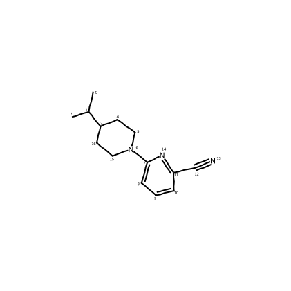 CC(C)C1CCN(c2cccc(C#N)n2)CC1